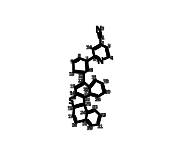 N#Cc1ccnc(-c2cccc(-c3cc4sc5ccc6ccccc6c5c4c4ccccc34)c2)c1